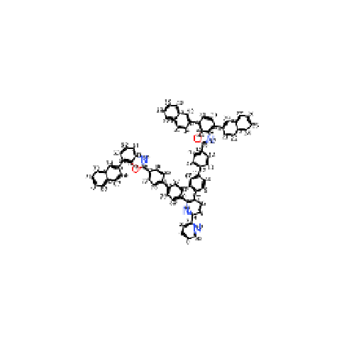 c1ccc(-c2ccc(-c3ccc(-c4ccc(-c5nc6c(-c7ccc8ccccc8c7)ccc(-c7ccc8ccccc8c7)c6o5)cc4)cc3)c(-c3ccc(-c4ccc(-c5nc6cccc(-c7ccc8ccccc8c7)c6o5)cc4)cc3)n2)nc1